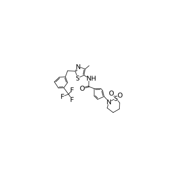 Cc1nc(Cc2cccc(C(F)(F)F)c2)sc1NC(=O)c1ccc(N2CCCCS2(=O)=O)cc1